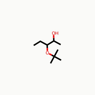 CCC(OC(C)(C)C)C(C)O